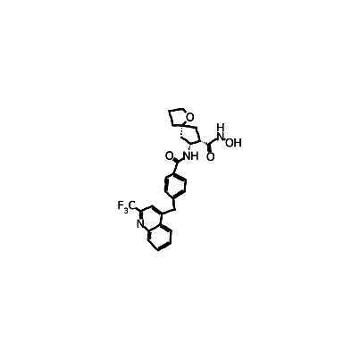 O=C(N[C@@H]1C[C@@]2(CCCO2)C[C@@H]1C(=O)NO)c1ccc(Cc2cc(C(F)(F)F)nc3ccccc23)cc1